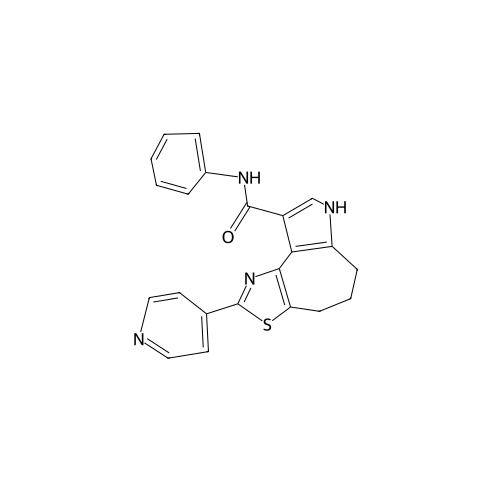 O=C(Nc1ccccc1)c1c[nH]c2c1-c1nc(-c3ccncc3)sc1CCC2